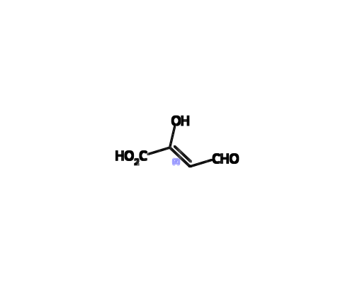 O=C/C=C(\O)C(=O)O